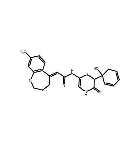 O=C(/C=C1\CCCOc2cc(C(F)(F)F)ccc21)NC1=CNC(=O)C(C2(O)C=CC=CC2)S1